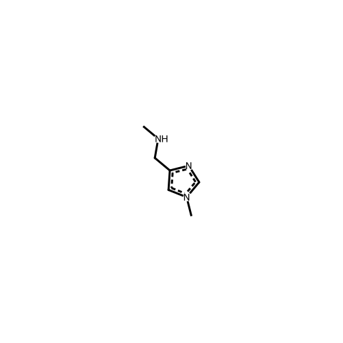 CNCc1cn(C)cn1